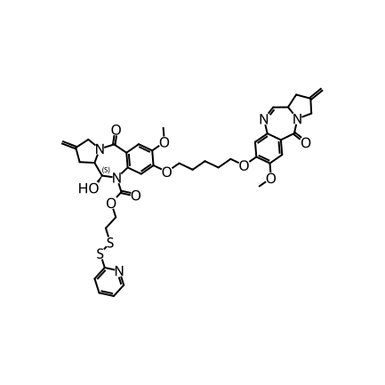 C=C1CC2C=Nc3cc(OCCCCCOc4cc5c(cc4OC)C(=O)N4CC(=C)CC4[C@H](O)N5C(=O)OCCSSc4ccccn4)c(OC)cc3C(=O)N2C1